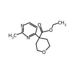 CCOC(=O)C1(c2ccnc(C)n2)CCOCC1